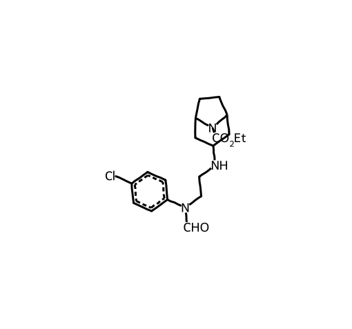 CCOC(=O)N1C2CCC1CC(NCCN(C=O)c1ccc(Cl)cc1)C2